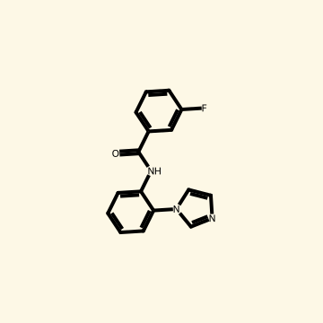 O=C(Nc1ccccc1-n1ccnc1)c1cccc(F)c1